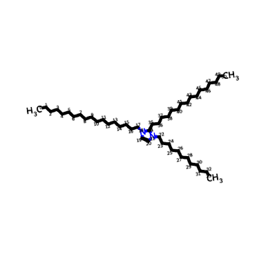 CCCCCCCCCCCCCCCCCCN1C=CN(CCCCCCCCCCCC)C1CCCCCCCCCCCCCCCC